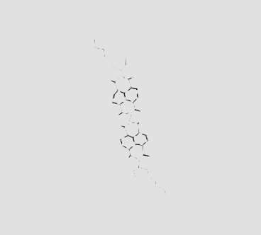 CCCCOCC(CC)N1C(=O)c2ccc3c4c(ccc(c24)C1=O)C(=O)N(N1C(=O)c2ccc4c5c(ccc(c25)C1=O)C(=O)N(C(CC)COCCCC)C4=O)C3=O